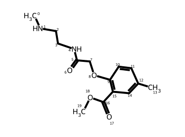 CNCCNC(=O)COc1ccc(C)cc1C(=O)OC